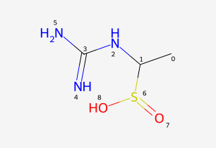 CC(NC(=N)N)S(=O)O